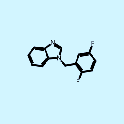 Fc1ccc(F)c(Cn2cnc3ccccc32)c1